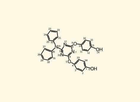 Oc1ccc(Oc2nc(Oc3ccc(O)cc3)nc(N(c3ccccc3)c3ccccc3)n2)cc1